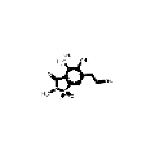 C=CCc1cc2c(c(C)c1C)C(=O)N(C)S2(=O)=O.N